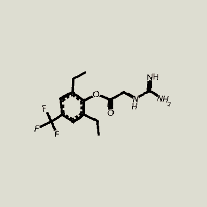 CCc1cc(C(F)(F)F)cc(CC)c1OC(=O)CNC(=N)N